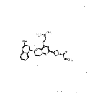 C=CC(=O)N1CC(c2nc(CCN(C)C)c3cc(-c4cc(O)cc5ccccc45)ccc3n2)C1